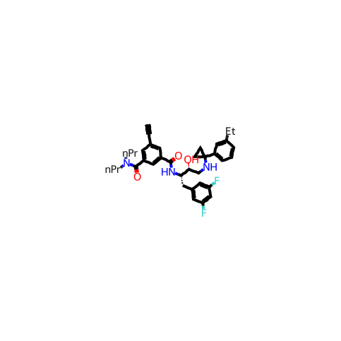 C#Cc1cc(C(=O)N[C@@H](Cc2cc(F)cc(F)c2)[C@H](O)CNC2(c3cccc(CC)c3)CC2)cc(C(=O)N(CCC)CCC)c1